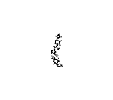 CC(C)(C)C1C=CC(C(=O)NC2CCN(CC(=O)N3CCN(C4CCC4)CC3)C2)=CC1